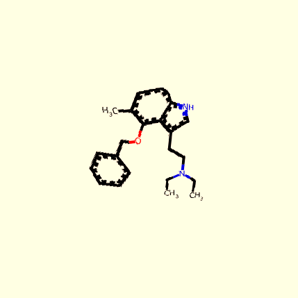 CCN(CC)CCc1c[nH]c2ccc(C)c(OCc3ccccc3)c12